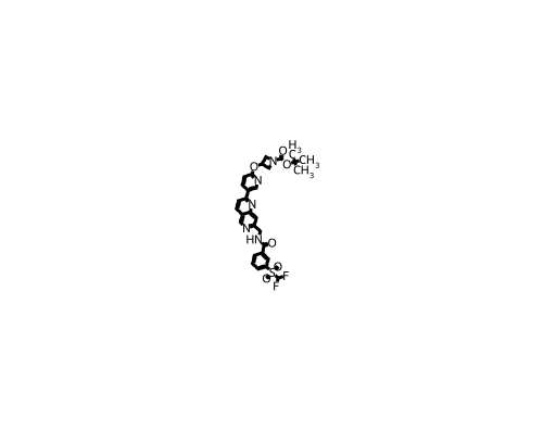 CC(C)(C)OC(=O)N1CC(Oc2ccc(-c3ccc4cnc(CNC(=O)c5cccc(S(=O)(=O)C(F)F)c5)cc4n3)cn2)C1